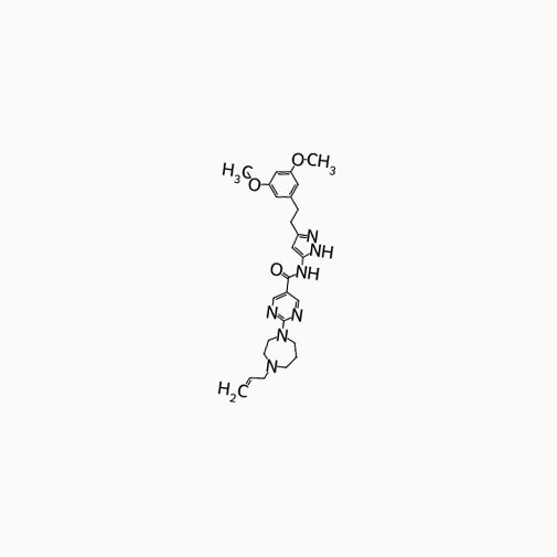 C=CCN1CCCN(c2ncc(C(=O)Nc3cc(CCc4cc(OC)cc(OC)c4)n[nH]3)cn2)CC1